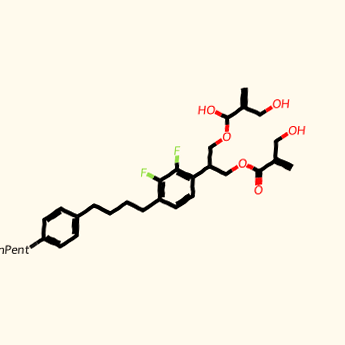 C=C(CO)C(=O)OCC(COC(O)C(=C)CO)c1ccc(CCCCc2ccc(CCCCC)cc2)c(F)c1F